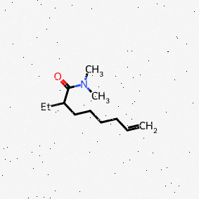 C=CCCCCC(CC)C(=O)N(C)C